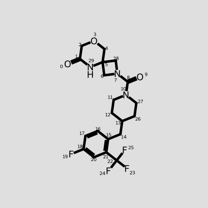 O=C1COCC2(CN(C(=O)N3CCC(Cc4ccc(F)cc4C(F)(F)F)CC3)C2)N1